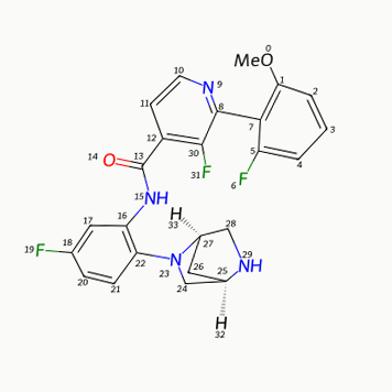 COc1cccc(F)c1-c1nccc(C(=O)Nc2cc(F)ccc2N2C[C@H]3C[C@@H]2CN3)c1F